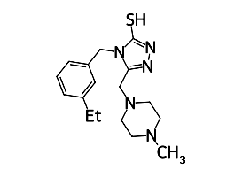 CCc1cccc(Cn2c(S)nnc2CN2CCN(C)CC2)c1